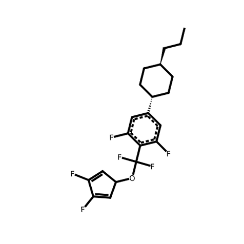 CCC[C@H]1CC[C@H](c2cc(F)c(C(F)(F)OC3C=C(F)C(F)=C3)c(F)c2)CC1